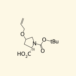 C=CCOC1C[C@@H](C(=O)O)N(C(=O)OC(C)(C)C)C1